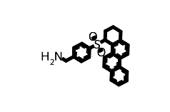 NCc1ccc(S(=O)(=O)C2CCCc3ccc4c(ccc5ccccc54)c32)cc1